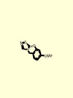 COc1ccc(CN2C=NSC2)c(OC)c1